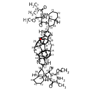 CO[C@H](C)[C@H](NC(=O)SC)C(=O)N1[C@H](c2nc3cc(-c4cc5ccc4CCc4ccc(c(-c6ccc7[nH]c([C@@H]8C[C@@H]9CCCC[C@@H]9N8C(=O)[C@@H](NC(=O)SC)[C@@H](N)OC)nc7c6)c4)CC5)ccc3[nH]2)C[C@@H]2CCCC[C@@H]21